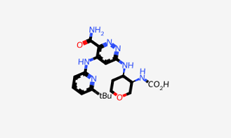 CC(C)(C)c1cccc(Nc2cc(N[C@@H]3CCOC[C@@H]3NC(=O)O)nnc2C(N)=O)n1